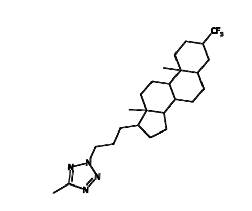 Cc1nnn(CCCC2CCC3C4CCC5CC(C(F)(F)F)CCC5(C)C4CCC23C)n1